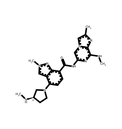 CNc1nc(NC(=O)c2ccc(N3CC[C@@H](NC)C3)c3cn(C)nc23)cn2cc(C)nc12